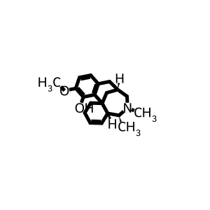 COc1ccc2c(c1O)C13CCC=C[C@H]1[C@@H](C)N(C)C[C@H](C2)C3